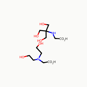 O=C(O)CN(CCO)CCO.O=C(O)CNC(CO)(CO)CO